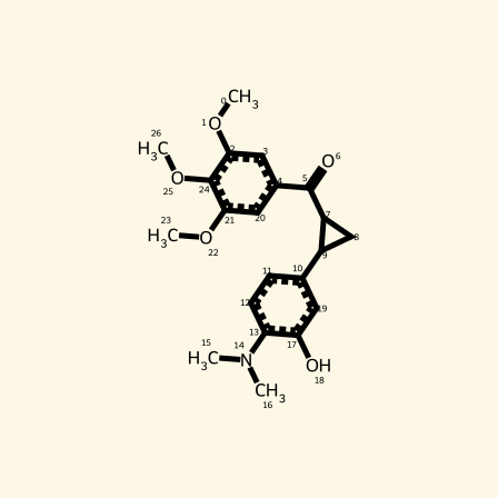 COc1cc(C(=O)C2CC2c2ccc(N(C)C)c(O)c2)cc(OC)c1OC